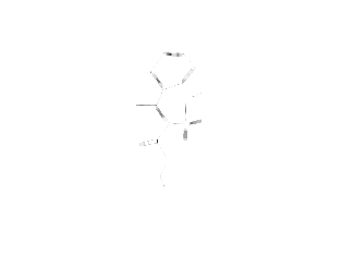 CCOC(=O)/C(=C(\O)c1ccccc1)S(=O)(=O)SC